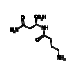 NCCCC(=O)N[C@@H](CC(N)=O)C(=O)O